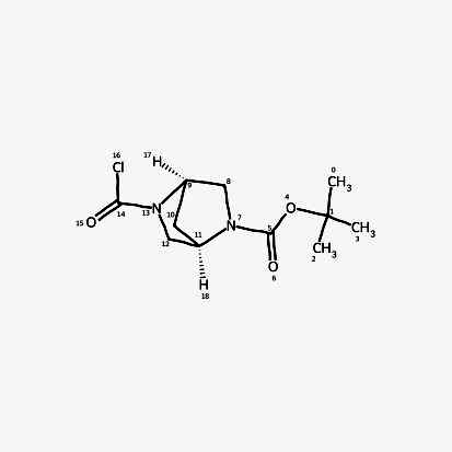 CC(C)(C)OC(=O)N1C[C@H]2C[C@@H]1CN2C(=O)Cl